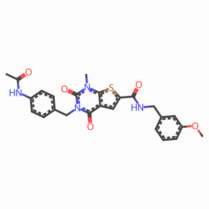 COc1cccc(CNC(=O)c2cc3c(=O)n(Cc4ccc(NC(C)=O)cc4)c(=O)n(C)c3s2)c1